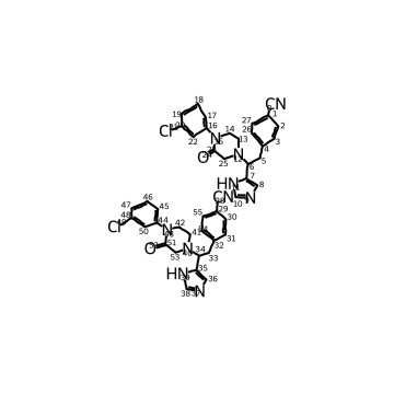 N#Cc1ccc(CC(c2cnc[nH]2)N2CCN(c3cccc(Cl)c3)C(=O)C2)cc1.N#Cc1ccc(CC(c2cnc[nH]2)N2CCN(c3cccc(Cl)c3)C(=O)C2)cc1